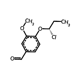 CC[C@H](Cl)Oc1ccc(C=O)cc1OC